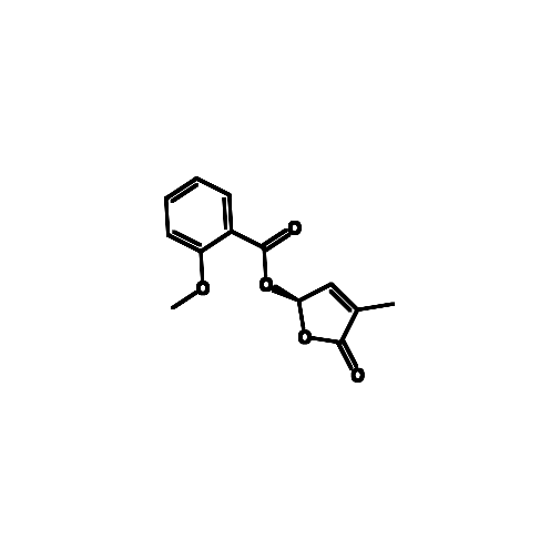 COc1ccccc1C(=O)O[C@H]1C=C(C)C(=O)O1